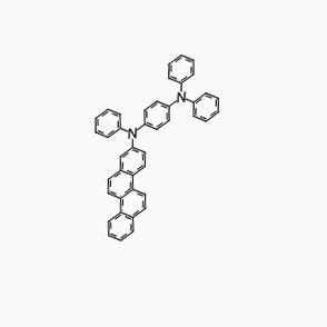 c1ccc(N(c2ccccc2)c2ccc(N(c3ccccc3)c3ccc4c(ccc5c6ccccc6ccc45)c3)cc2)cc1